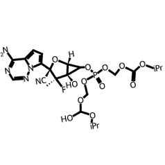 CC(C)OC(=O)OCOP(=O)(OCOC(O)OC(C)C)OC1[C@H]2O[C@@](C#N)(c3ccc4c(N)ncnn34)[C@](C)(F)[C@@]12O